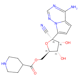 N#C[C@@]1(c2ccc3c(N)ncnn23)O[C@H](COC(=O)C2CCNCC2)[C@@H](O)[C@H]1O